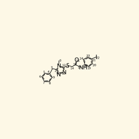 Cn1c(Cc2ccccc2)nnc1SCC(=O)Nc1ccc(I)cc1